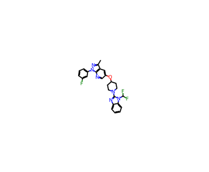 Cc1nn(-c2cccc(F)c2)c2ncc(OC3CCN(c4nc5ccccc5n4C(F)F)CC3)cc12